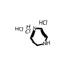 C1=CNCC=N1.Cl.Cl.Cl